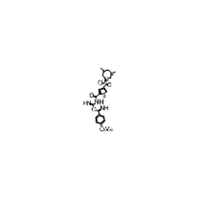 COc1ccc(C(=N)OC(=N)NC(=O)c2cc(S(=O)(=O)N3C[C@H](C)C[C@H](C)C3)cs2)cc1